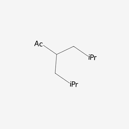 CC(=O)C(CC(C)C)CC(C)C